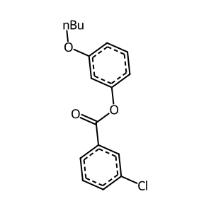 CCCCOc1cccc(OC(=O)c2cccc(Cl)c2)c1